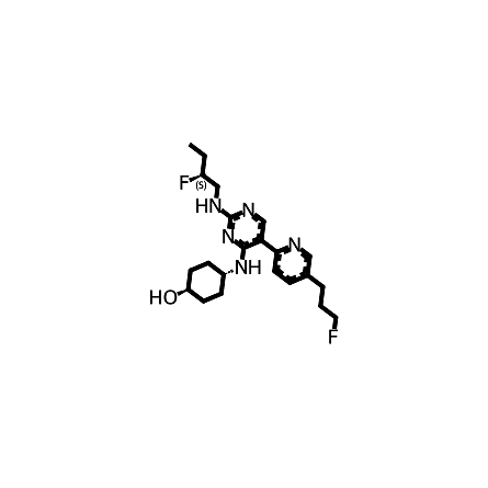 CC[C@H](F)CNc1ncc(-c2ccc(CCCF)cn2)c(N[C@H]2CC[C@H](O)CC2)n1